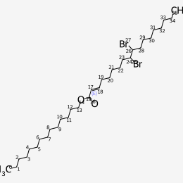 CCCCCCCCCCCCCCOC(=O)/C=C/CCCCCC(Br)C(Br)CCCCCCCC